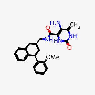 C=C1NC(=O)NC(C(=O)NC[C@@H]2Cc3ccccc3[C@H](c3ccccc3OC)C2)=C1N